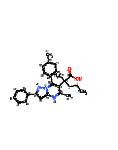 CCCC(C)(C(=O)O)c1c(C)nc2cc(-c3ccccc3)nn2c1-c1ccc(C)cc1